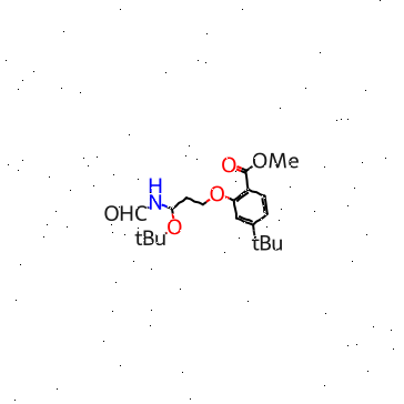 COC(=O)c1ccc(C(C)(C)C)cc1OCCC(NC=O)OC(C)(C)C